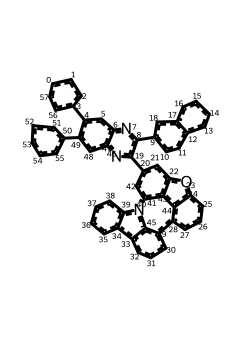 c1ccc(-c2cc3nc(-c4ccc5ccccc5c4)c(-c4cc5oc6cccc7c8cccc9c%10ccccc%10n(c(c4)c5c67)c89)nc3cc2-c2ccccc2)cc1